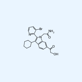 NC(=O)Cn1c(-c2ncccc2Br)c(C2CCCCC2)c2ccc(C(=O)CO)cc21